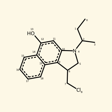 CCC(C)N1CC(CCl)c2c1cc(O)c1ccccc21